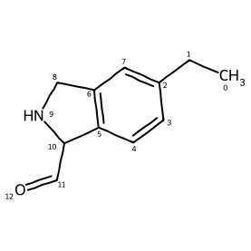 CCc1ccc2c(c1)CNC2C=O